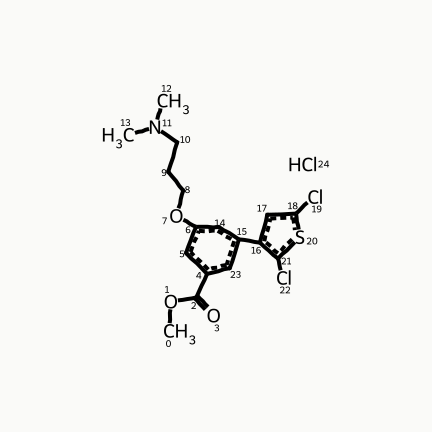 COC(=O)c1cc(OCCCN(C)C)cc(-c2cc(Cl)sc2Cl)c1.Cl